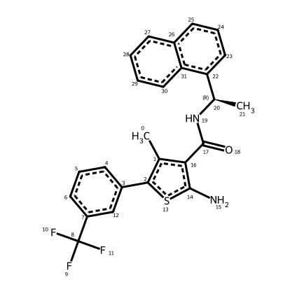 Cc1c(-c2cccc(C(F)(F)F)c2)sc(N)c1C(=O)N[C@H](C)c1cccc2ccccc12